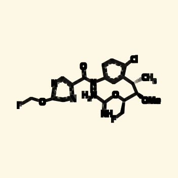 CO[C@@H]([C@@H](CF)OC(=N)N)[C@@H](C)c1cc(NC(=O)c2cnc(OCF)cn2)ccc1Cl